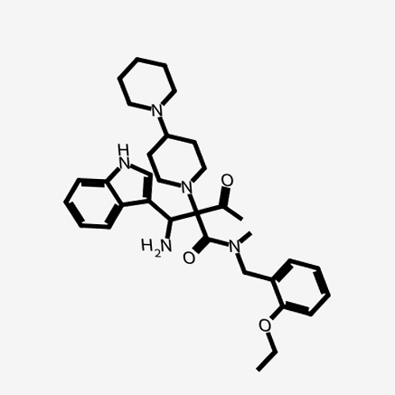 CCOc1ccccc1CN(C)C(=O)C(C(C)=O)(C(N)c1c[nH]c2ccccc12)N1CCC(N2CCCCC2)CC1